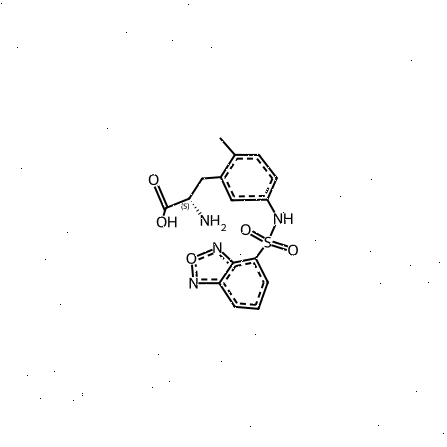 Cc1ccc(NS(=O)(=O)c2cccc3nonc23)cc1C[C@H](N)C(=O)O